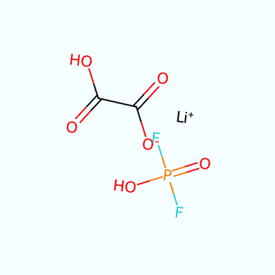 O=C([O-])C(=O)O.O=P(O)(F)F.[Li+]